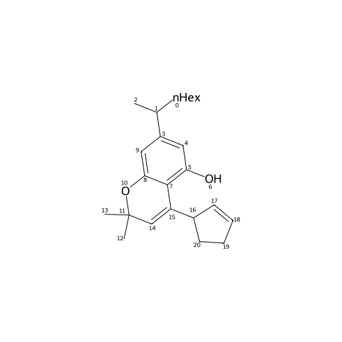 CCCCCCC(C)c1cc(O)c2c(c1)OC(C)(C)C=C2C1C=CCC1